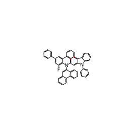 Fc1cc(-c2ccccc2)cc(-c2ccccc2)c1N(c1ccc2c3ccccc3n(-c3ccccc3)c2c1)c1cc2ccccc2c2ccccc12